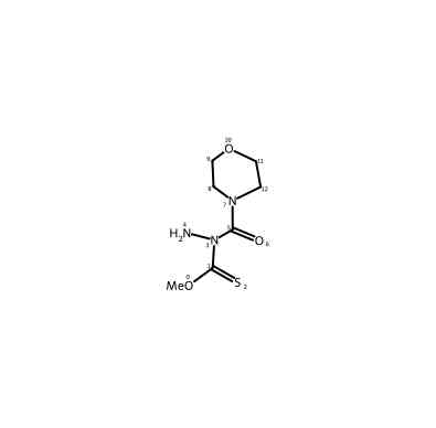 COC(=S)N(N)C(=O)N1CCOCC1